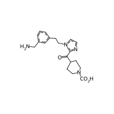 NCc1cccc(CCn2ccnc2C(=O)C2CCN(C(=O)O)CC2)c1